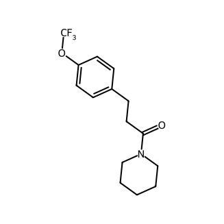 O=C(CCc1ccc(OC(F)(F)F)cc1)N1CCCCC1